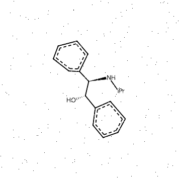 CC(C)N[C@H](c1ccccc1)[C@@H](O)c1ccccc1